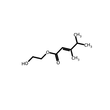 C/C(=C\C(=O)OCCO)C(C)C